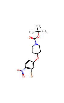 CC(C)(C)OC(=O)N1CCC(Oc2ccc([N+](=O)[O-])c(Br)c2)CC1